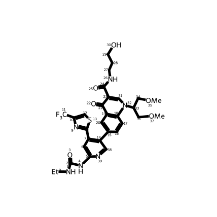 CCNC(=O)Nc1cc(-c2nc(C(F)(F)F)cs2)c(-c2ccc3c(c2)c(=O)c(C(=O)NCCCO)cn3C(COC)COC)cn1